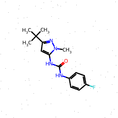 Cn1nc(C(C)(C)C)cc1NC(=O)Nc1ccc(F)cc1